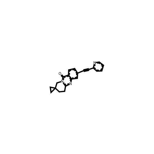 O=c1c2ccc(C#Cc3ccccn3)cc2nc2n1CC1(CC2)CC1